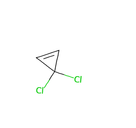 ClC1(Cl)C=C1